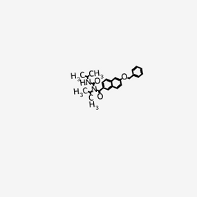 CC(C)NC(=O)N(C(=O)c1ccc2cc(OCc3ccccc3)ccc2c1)C(C)C